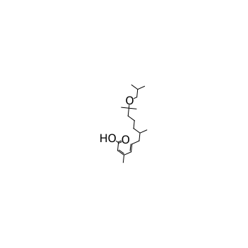 CC(C=CCC(C)CCCC(C)(C)OCC(C)C)=CC(=O)O